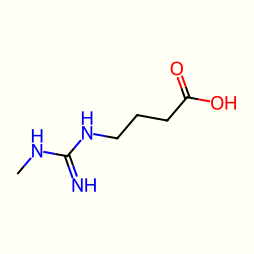 CNC(=N)NCCCC(=O)O